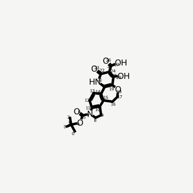 CC(C)(C)OC(=O)N1CCc2c1ccc1c2CCOc2c-1[nH]c(=O)c(C(=O)O)c2O